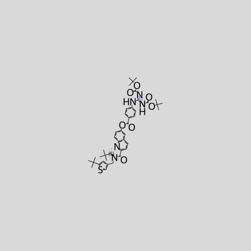 C[C@H](N(Cc1csc(C(C)(C)C)c1)C(=O)c1ccc2cc(OC(=O)c3ccc(N/C(=N\C(=O)OC(C)(C)C)NC(=O)OC(C)(C)C)cc3)ccc2n1)C(C)(C)C